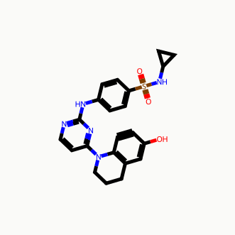 O=S(=O)(NC1CC1)c1ccc(Nc2nccc(N3CCCc4cc(O)c#cc43)n2)cc1